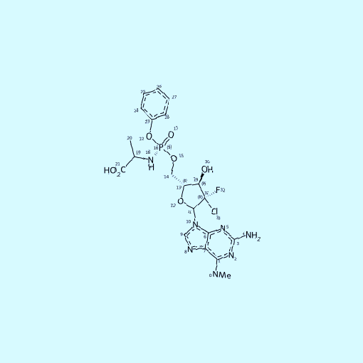 CNc1nc(N)nc2c1ncn2C1O[C@H](CO[P@@](=O)(NC(C)C(=O)O)Oc2ccccc2)[C@@H](O)[C@@]1(F)Cl